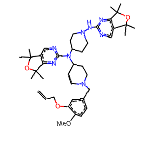 C=CCOc1cc(CN2CCC(N(c3ncc4c(n3)C(C)(C)OC4(C)C)C3CCN(Nc4ncc5c(n4)C(C)(C)OC5(C)C)CC3)CC2)ccc1OC